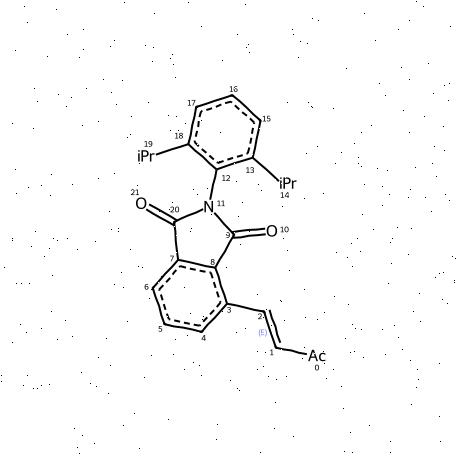 CC(=O)/C=C/c1cccc2c1C(=O)N(c1c(C(C)C)cccc1C(C)C)C2=O